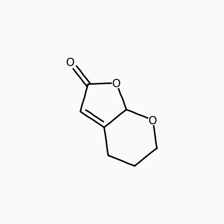 O=C1C=C2CCCOC2O1